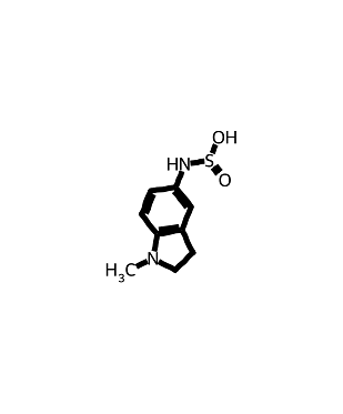 CN1CCc2cc(NS(=O)O)ccc21